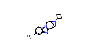 Cc1ccc2c(c1)nc1n2CC2CC1CN2C1CCC1